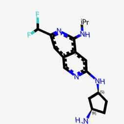 CC(C)Nc1nc(C(F)F)cc2cnc(N[C@H]3CC[C@@H](N)C3)cc12